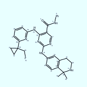 CC(C)NC(=O)c1cnc(Nc2ccc3c(c2)CCNC3(C)C)nc1Nc1cccc(C2(CF)CC2)n1